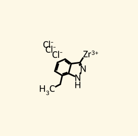 CCc1cccc2[c]([Zr+3])n[nH]c12.[Cl-].[Cl-].[Cl-]